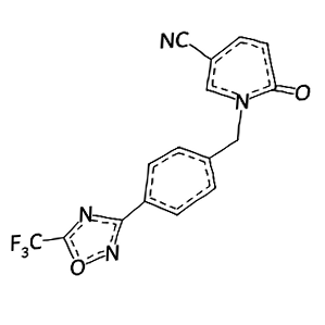 N#Cc1ccc(=O)n(Cc2ccc(-c3noc(C(F)(F)F)n3)cc2)c1